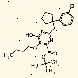 CCCCOc1c(O)nc(CC2(c3cccc(Cl)c3)CCCC2)nc1C(=O)OC(C)(C)C